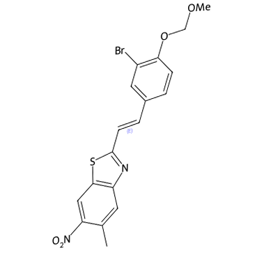 COCOc1ccc(/C=C/c2nc3cc(C)c([N+](=O)[O-])cc3s2)cc1Br